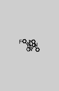 O=C(c1c(CN2CCCCC2)c(-c2ccccc2)nc2ccccc12)N(Cc1cccc(F)c1)C1CC1